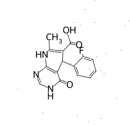 CC1=C(C(=O)O)C(c2ccccc2F)c2c(nc[nH]c2=O)N1